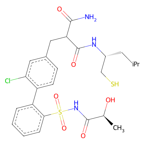 CC(C)C[C@H](CS)NC(=O)C(Cc1ccc(-c2ccccc2S(=O)(=O)NC(=O)[C@H](C)O)c(Cl)c1)C(N)=O